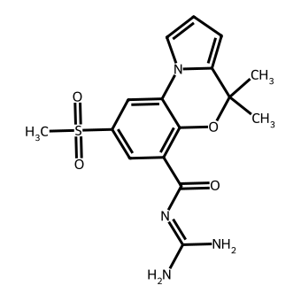 CC1(C)Oc2c(C(=O)N=C(N)N)cc(S(C)(=O)=O)cc2-n2cccc21